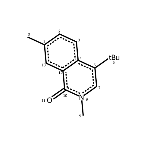 Cc1ccc2c(C(C)(C)C)cn(C)c(=O)c2c1